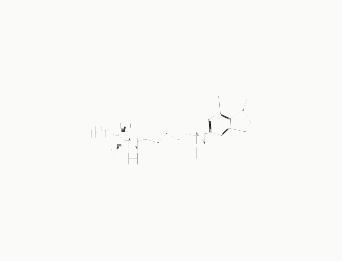 Cc1cc(NCCCCCNS(=O)(=O)C(C)C)cc2c1C(C)CC2